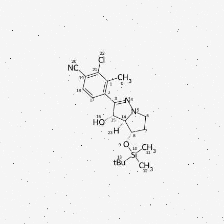 Cc1c(C2=NN3CC[C@H](O[Si](C)(C)C(C)(C)C)[C@H]3[C@@H]2O)ccc(C#N)c1Cl